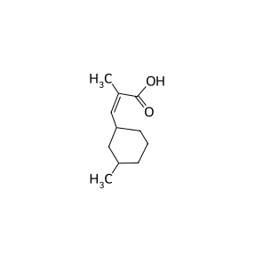 CC(=CC1CCCC(C)C1)C(=O)O